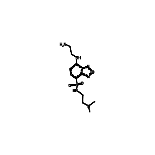 CN(C)CCNS(=O)(=O)c1ccc(NCCN)c2nonc12